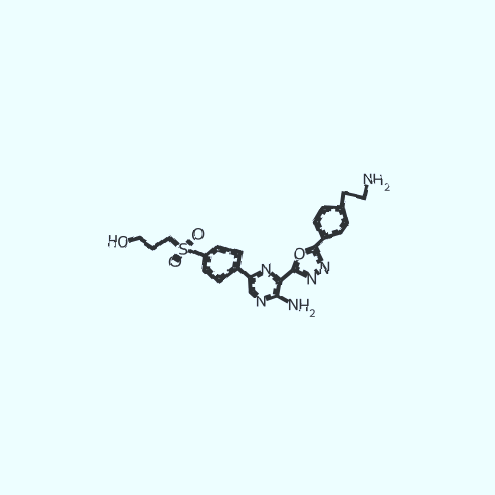 NCCc1ccc(-c2nnc(-c3nc(-c4ccc(S(=O)(=O)CCCO)cc4)cnc3N)o2)cc1